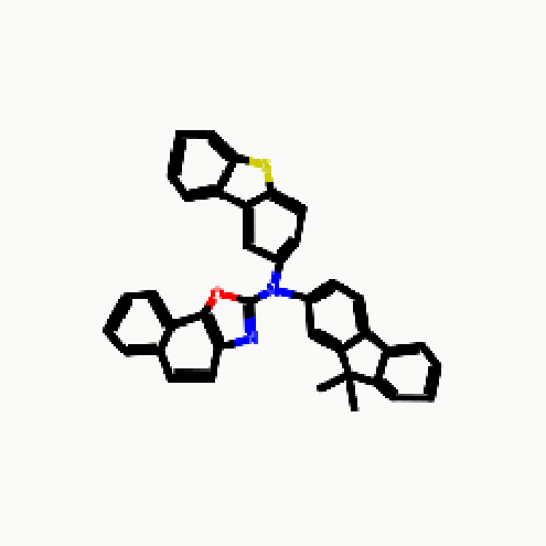 CC1(C)c2ccccc2-c2ccc(N(c3ccc4sc5ccccc5c4c3)c3nc4ccc5ccccc5c4o3)cc21